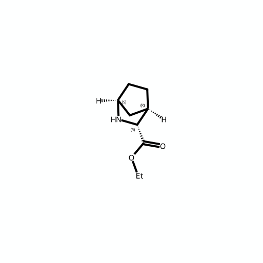 CCOC(=O)[C@@H]1N[C@H]2CC[C@@H]1C2